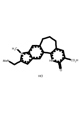 CNCc1cc2cc3c(cc2n1C)CCCc1cc(C(=O)O)c(=O)[nH]c1-3.Cl